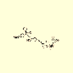 COc1ccc(C2C(CCC(O)c3ccc(/C=C/CCCC(=O)N(C)CC(O)C(O)C(O)C(O)CO)cc3)C(=O)N2c2ccc(F)cc2)cc1